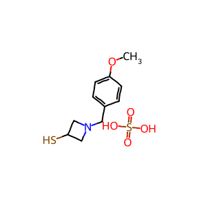 COc1ccc(CN2CC(S)C2)cc1.O=S(=O)(O)O